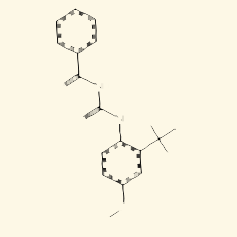 COc1ccc(NC(=S)NC(=O)c2ccccc2)c(C(F)(F)F)c1